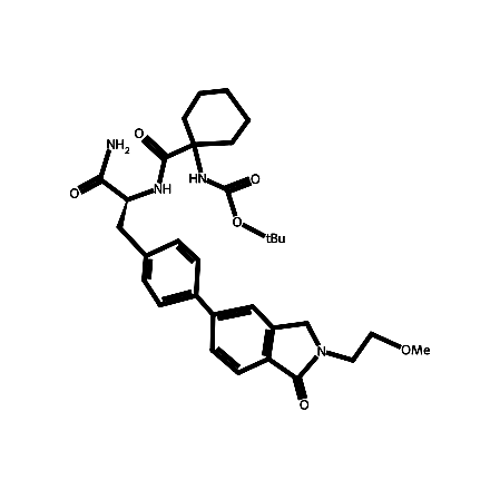 COCCN1Cc2cc(-c3ccc(C[C@H](NC(=O)C4(NC(=O)OC(C)(C)C)CCCCC4)C(N)=O)cc3)ccc2C1=O